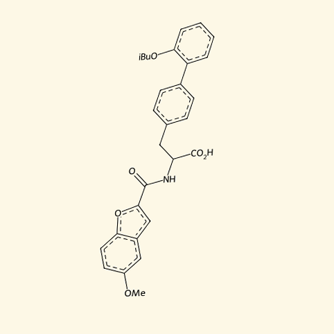 COc1ccc2oc(C(=O)NC(Cc3ccc(-c4ccccc4OCC(C)C)cc3)C(=O)O)cc2c1